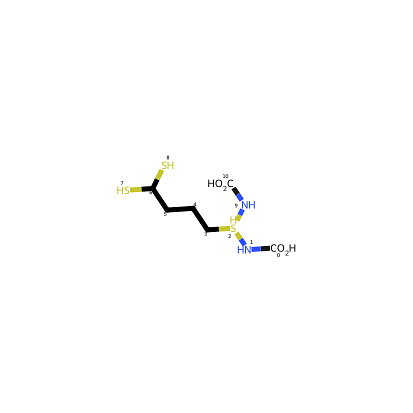 O=C(O)N[SH](CCCC(S)S)NC(=O)O